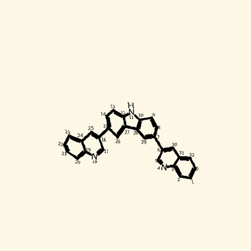 c1ccc2ncc(-c3ccc4[nH]c5ccc(-c6cnc7ccccc7c6)cc5c4c3)cc2c1